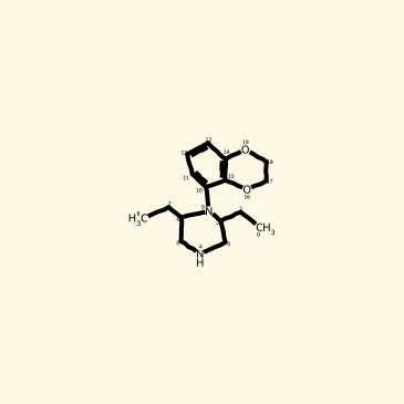 CCC1CNCC(CC)N1c1cccc2c1OCCO2